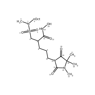 CCCCCCCCN(C)S(=O)(=O)CC(CCCN1C(=O)N(C)C(C)(C)C1=O)C(=O)NO